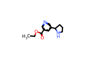 CCOC(=O)c1cncc(C2CCCN2)c1